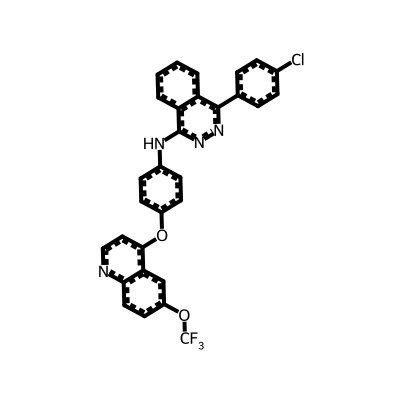 FC(F)(F)Oc1ccc2nccc(Oc3ccc(Nc4nnc(-c5ccc(Cl)cc5)c5ccccc45)cc3)c2c1